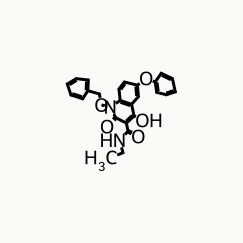 CCNC(=O)c1c(O)c2cc(Oc3ccccc3)ccc2n(OCc2ccccc2)c1=O